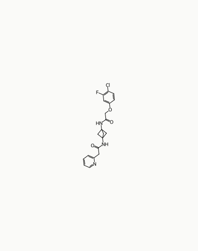 O=C(COc1ccc(Cl)c(F)c1)NC12CC(NC(=O)Cc3ccccn3)(C1)C2